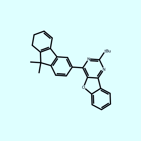 CC(C)(C)c1nc(-c2ccc3c(c2)C2=C(CCC=C2)C3(C)C)c2oc3ccccc3c2n1